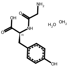 NCC(=O)N[C@@H](Cc1ccc(O)cc1)C(=O)O.O.O